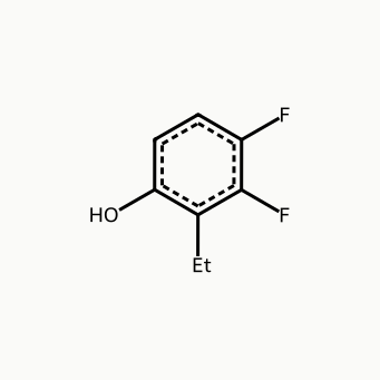 CCc1c(O)ccc(F)c1F